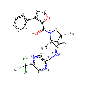 O=C(c1occc1-c1ccccc1)N1C[C@H]2C[C@@H](Nc3cnc(C(F)(F)F)cn3)[C@@H]1C2